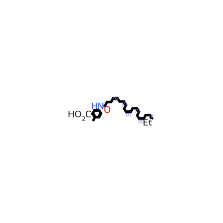 CC/C=C\C/C=C\C/C=C\C/C=C\C/C=C\C/C=C\CCC(=O)Nc1ccc(C)c(C(=O)O)c1